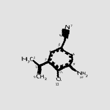 C=C(C)c1cc(C#N)cc(N)c1Cl